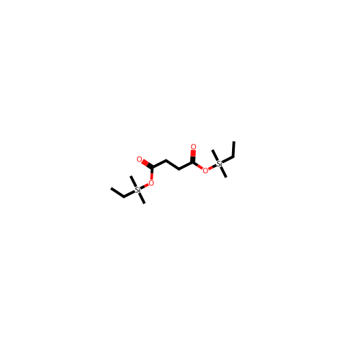 CC[Si](C)(C)OC(=O)CCC(=O)O[Si](C)(C)CC